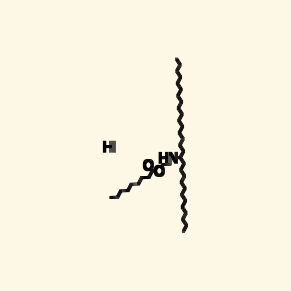 CCCCCCCCCCCCCCCCC(CCCCCCCCCCCC)NCCOC(=O)CCCCCCCC.I